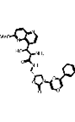 COc1ccc2nccc(C(O)C(N)C(=O)NC[C@@H]3CN(C4=COC=C(C5=CC=CCC5)O4)C(=O)O3)c2n1